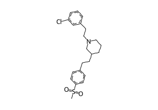 CS(=O)(=O)c1ccc(CCC2CCCN(CCc3cccc(Cl)c3)C2)cc1